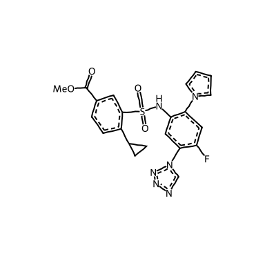 COC(=O)c1ccc(C2CC2)c(S(=O)(=O)Nc2cc(-n3cnnn3)c(F)cc2-n2cccc2)c1